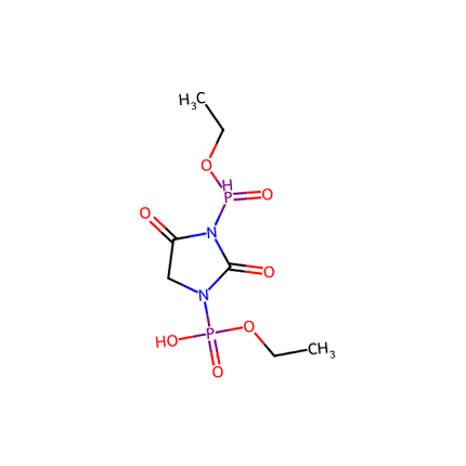 CCO[PH](=O)N1C(=O)CN(P(=O)(O)OCC)C1=O